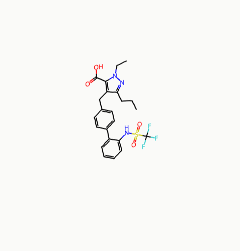 CCCc1nn(CC)c(C(=O)O)c1Cc1ccc(-c2ccccc2NS(=O)(=O)C(F)(F)F)cc1